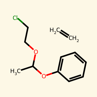 C=C.CC(OCCCl)Oc1ccccc1